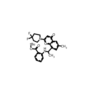 Cc1cc(C(C)Nc2ccccc2C(=O)OC(C)(C)C)c2oc(N3CCC(F)(F)CC3)cc(=O)c2c1